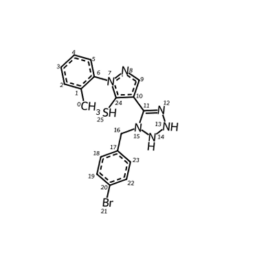 Cc1ccccc1-n1ncc(C2=NNNN2Cc2ccc(Br)cc2)c1S